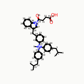 CC(C)Cc1ccc([N+](C)(c2ccc(CC(C)C)cc2)c2cccc(Cc3cn(C(=O)CCC(=O)O)c4ccccc34)c2)cc1